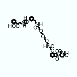 O=C(CCOCCOCCOCCNC(=O)COc1cccc2c1C(=O)N(C1CCC(=O)NC1=O)C2=O)NCCc1cccc(N2C[C@H]3C[C@@H]2CN3/C=C/C(=O)c2ccccc2O)c1